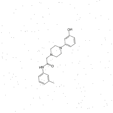 Cc1cccc(NC(=O)CN2CCN(c3cccc(O)c3)CC2)c1